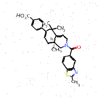 Cc1nc2cc(C(=O)N3CC=C4C(C)(C)C(c5ccc(C(=O)O)cc5)=CC[C@]4(C)C3)ccc2s1